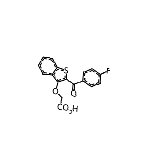 O=C(O)COc1c(C(=O)c2ccc(F)cc2)sc2ccccc12